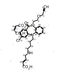 C#CCOCCN1C(=O)c2ccc(Cl)cc2N(CCCCNC/C=C/C(=O)O)c2ccccc21.O=C(O)/C=C\C(=O)O